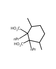 CCCC1(C(=O)O)C(C)CCC(C)C1(CCC)C(=O)O